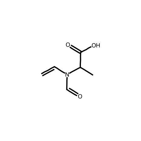 C=CN(C=O)C(C)C(=O)O